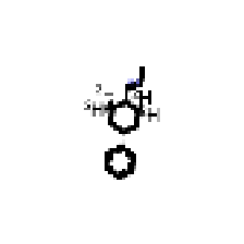 [2H]C1([2H])C[C@H](c2ccccc2)CC([2H])([2H])[C@H]1/C=C/C